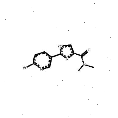 CN(C)C(=O)c1c[nH]c(-c2ccc(Br)nc2)n1